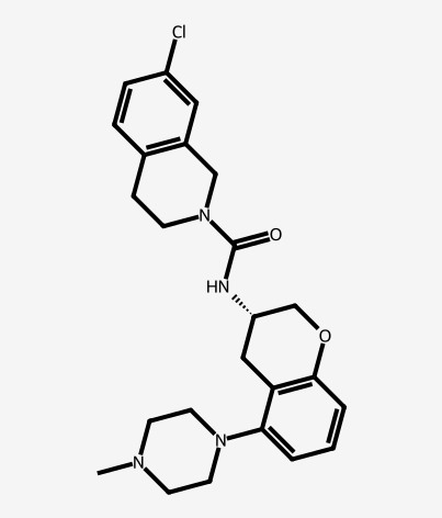 CN1CCN(c2cccc3c2C[C@H](NC(=O)N2CCc4ccc(Cl)cc4C2)CO3)CC1